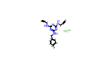 C#CCNc1nc(NCC#C)nc(NCc2ccc(F)cc2)n1.Cl